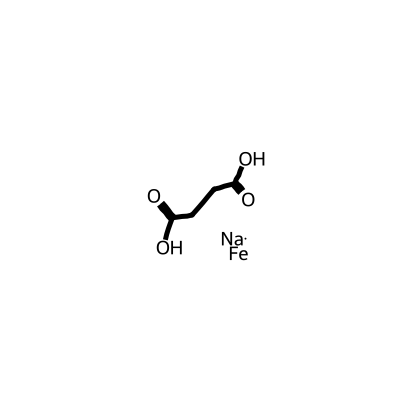 O=C(O)CCC(=O)O.[Fe].[Na]